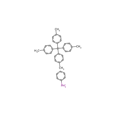 Cc1ccc([B-](c2ccc(C)cc2)(c2ccc(C)cc2)c2ccc(C)cc2)cc1.[PH3+]c1ccccc1